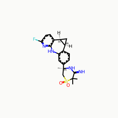 CC1(C)C(=N)N[C@](C)(c2ccc3c(c2)Nc2nc(F)ccc2[C@H]2C[C@@H]32)CS1(=O)=O